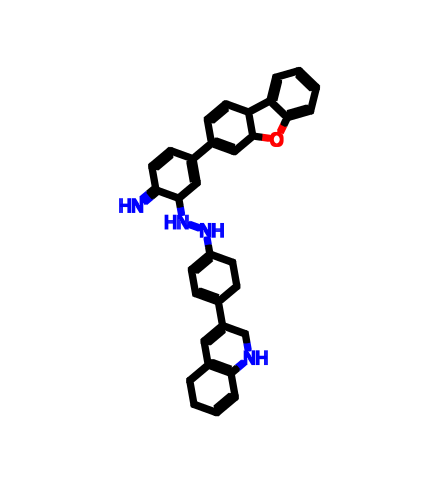 N=C1C=CC(C2=CC3Oc4ccccc4C3C=C2)=CC1NNC1=CC=C(C2=CC3=C(C=CCC3)NC2)CC1